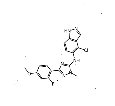 COc1ccc(-c2nc(Nc3ccc4[nH]ncc4c3Cl)n(C)n2)c(F)c1